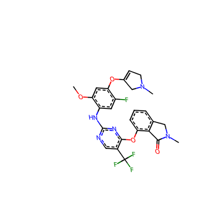 COc1cc(OC2=CCN(C)C2)c(F)cc1Nc1ncc(C(F)(F)F)c(Oc2cccc3c2C(=O)N(C)C3)n1